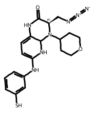 [N-]=[N+]=NC[C@@H]1C(=O)NC2=CC=C(Nc3cccc(S)c3)NC2N1C1CCOCC1